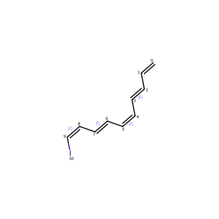 C=C/C=C/C=C\C=C\C=C/I